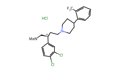 CNC[C@@H](CCN1CCC(c2ccccc2C(F)(F)F)CC1)c1ccc(Cl)c(Cl)c1.Cl